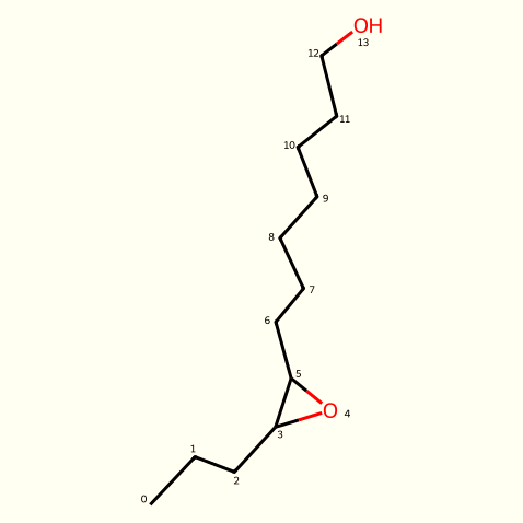 CCCC1OC1CCCCCCCO